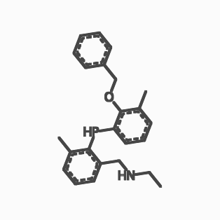 CCNCc1cccc(C)c1Pc1cccc(C)c1OCc1ccccc1